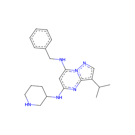 CC(C)c1cnn2c(NCc3ccccc3)cc(NC3CCCNC3)nc12